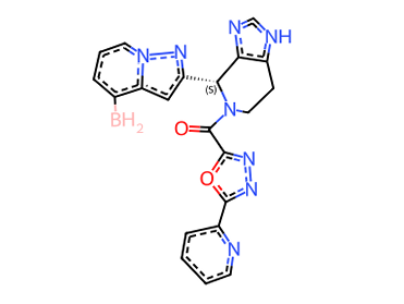 Bc1cccn2nc([C@@H]3c4nc[nH]c4CCN3C(=O)c3nnc(-c4ccccn4)o3)cc12